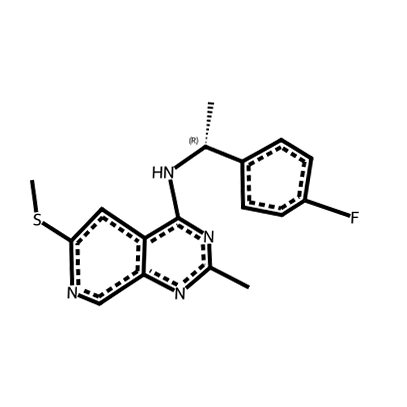 CSc1cc2c(N[C@H](C)c3ccc(F)cc3)nc(C)nc2cn1